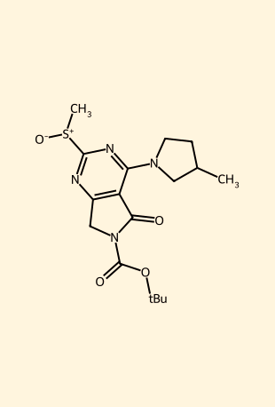 CC1CCN(c2nc([S+](C)[O-])nc3c2C(=O)N(C(=O)OC(C)(C)C)C3)C1